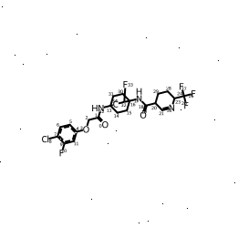 O=C(COc1ccc(Cl)c(F)c1)NC12CCC(NC(=O)C3C=NC(C(F)(F)F)CC3)(CC1)C(F)C2